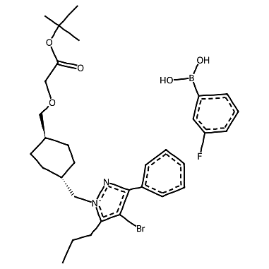 CCCc1c(Br)c(-c2ccccc2)nn1C[C@H]1CC[C@H](COCC(=O)OC(C)(C)C)CC1.OB(O)c1cccc(F)c1